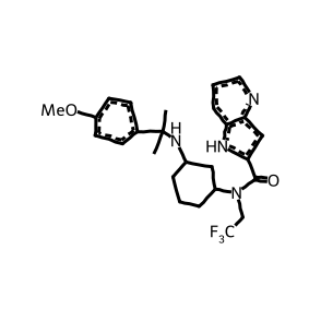 COc1ccc(C(C)(C)NC2CCCC(N(CC(F)(F)F)C(=O)c3cc4ncccc4[nH]3)C2)cc1